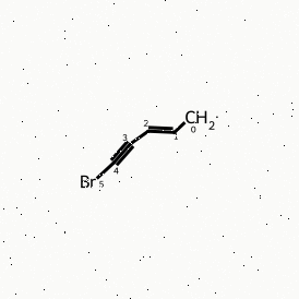 [CH2]C=CC#CBr